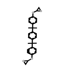 CC(C)(c1c#cc(OC2CO2)cc1)c1ccc(C(C)(C)c2ccc(OC3CO3)cc2)cc1